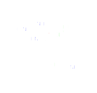 Cl.Cl.N=C(N)NC(=O)Cc1c(Cl)ccc(N)c1Cl